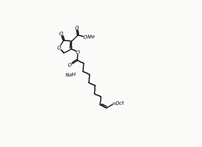 CCCCCCCC/C=C\CCCCCCCC(=O)OC1=C(C(=O)OC)C(=O)OC1.[NaH]